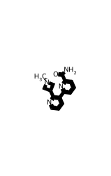 CN1CC(c2ncccc2-c2cccc(C(N)=O)n2)C1